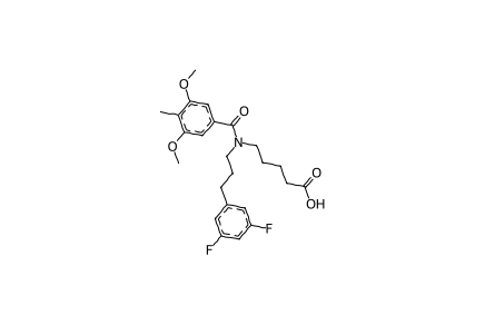 COc1cc(C(=O)N(CCCCC(=O)O)CCCc2cc(F)cc(F)c2)cc(OC)c1C